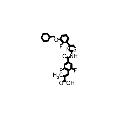 CC(=Cc1c(F)cc(C(=O)Nc2nc(-c3cccc(OCC4CCCCC4)c3F)cs2)cc1F)C(=O)O